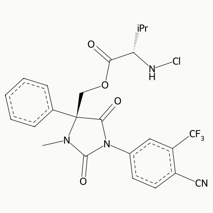 CC(C)[C@H](NCl)C(=O)OC[C@@]1(c2ccccc2)C(=O)N(c2ccc(C#N)c(C(F)(F)F)c2)C(=O)N1C